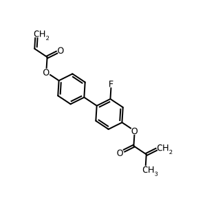 C=CC(=O)Oc1ccc(-c2ccc(OC(=O)C(=C)C)cc2F)cc1